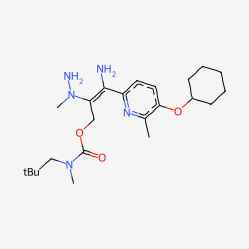 Cc1nc(/C(N)=C(\COC(=O)N(C)CC(C)(C)C)N(C)N)ccc1OC1CCCCC1